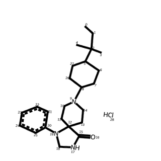 CCC(C)(C)C1CCC(N2CCC3(CC2)C(=O)NCN3c2ccccc2)CC1.Cl